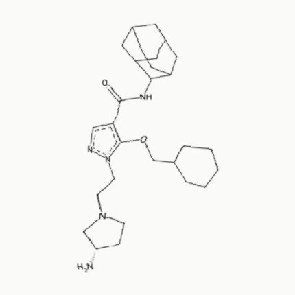 N[C@H]1CCN(CCn2ncc(C(=O)NC3C4CC5CC(C4)CC3C5)c2OCC2CCCCC2)C1